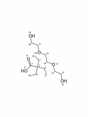 CCC(CC)(CC)C(=O)O.OCCOCCOCCO